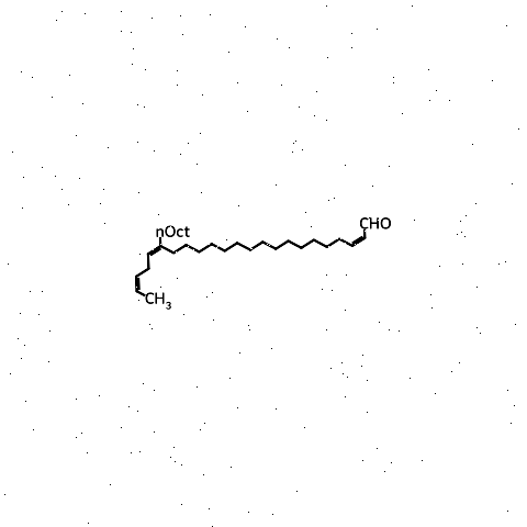 C/C=C\C/C=C(/CCCCCCCC)CCCCCCCCCCCCCC/C=C\C=O